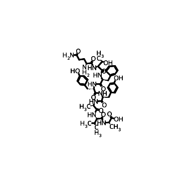 CC(C)[C@H](NC(=O)[C@H](C)NC(=O)[C@H](Cc1ccc(O)cc1)NC(=O)[C@H](Cc1ccc(O)cc1)NC(=O)[C@H](Cc1ccccc1)NC(=O)[C@@H](NC(=O)[C@@H](N)CCC(N)=O)[C@@H](C)O)C(=O)N[C@@H](C)C(=O)O